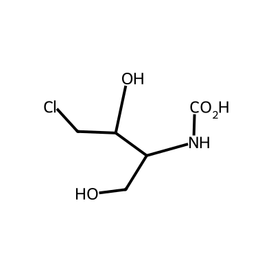 O=C(O)NC(CO)C(O)CCl